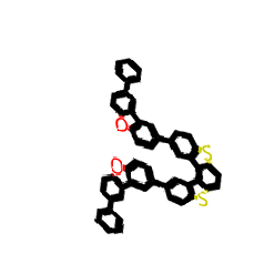 C1=C(c2ccc3oc4ccc(-c5ccccc5)cc4c3c2)CCc2sc3ccc4sc5ccc(-c6ccc7oc8ccc(-c9ccccc9)cc8c7c6)cc5c4c3c21